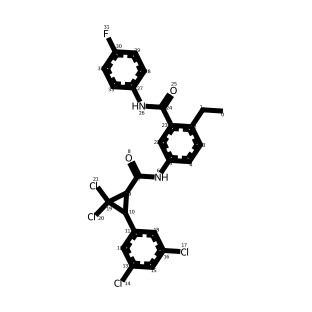 CCc1ccc(NC(=O)C2C(c3cc(Cl)cc(Cl)c3)C2(Cl)Cl)cc1C(=O)Nc1ccc(F)cc1